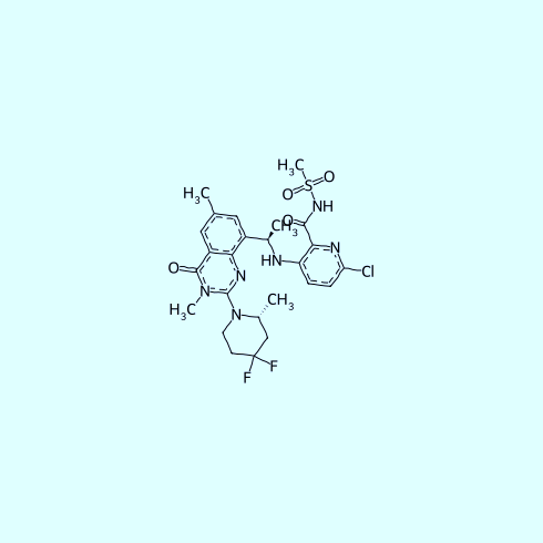 Cc1cc([C@@H](C)Nc2ccc(Cl)nc2C(=O)NS(C)(=O)=O)c2nc(N3CCC(F)(F)C[C@H]3C)n(C)c(=O)c2c1